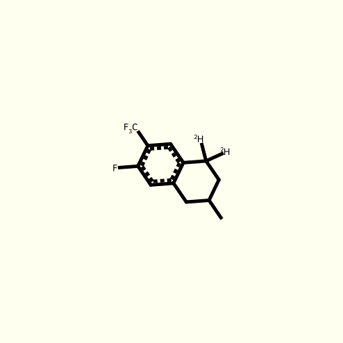 [2H]C1([2H])CC(C)Cc2cc(F)c(C(F)(F)F)cc21